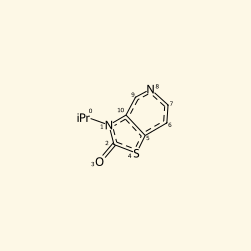 CC(C)n1c(=O)sc2ccncc21